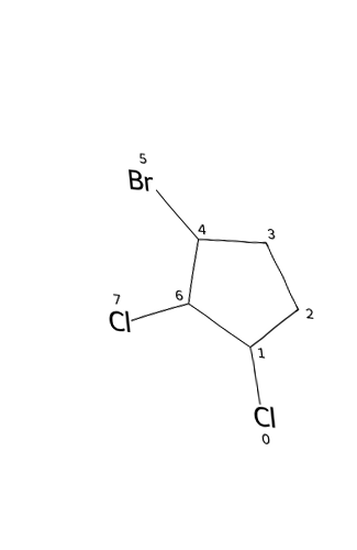 ClC1CCC(Br)C1Cl